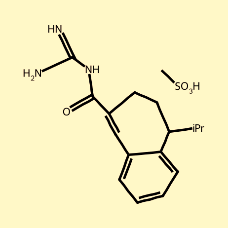 CC(C)C1CCC(C(=O)NC(=N)N)=Cc2ccccc21.CS(=O)(=O)O